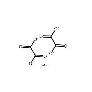 O=C([O-])C(=O)[O-].O=C([O-])C(=O)[O-].[Ir+4]